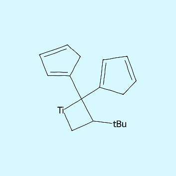 CC(C)(C)C1[CH2][Ti][C]1(C1=CC=CC1)C1=CC=CC1